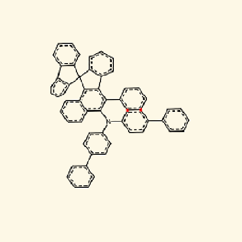 c1ccc(-c2ccc(N(c3ccc(-c4ccccc4)cc3)c3c(-c4ccccc4)c4c(c5ccccc35)C3(c5ccccc5-c5ccccc53)c3ccccc3-4)cc2)cc1